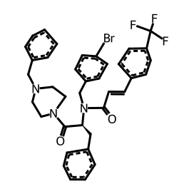 O=C([C@H](Cc1ccccc1)N(Cc1ccc(Br)cc1)C(=O)/C=C/c1ccc(C(F)(F)F)cc1)N1CCN(Cc2ccccc2)CC1